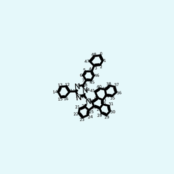 c1ccc(-c2ccc(-c3nc(-c4ccccc4)nc(-n4c5ccccc5c5c6ccccc6c6c7ccccc7ccc6c54)n3)cc2)cc1